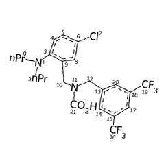 CCCN(CCC)c1ccc(Cl)cc1CN(Cc1cc(C(F)(F)F)cc(C(F)(F)F)c1)C(=O)O